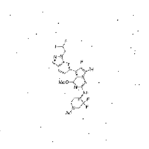 [2H]c1c(F)c(-c2ccc3nnn(CC(F)F)c3c2)c2c(OC)nc(N[C@@H]3CCN(C(C)=O)CC3(F)F)nn12